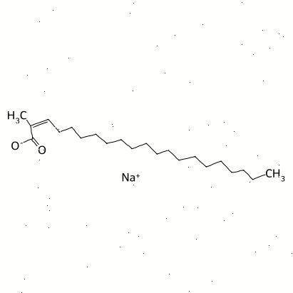 CCCCCCCCCCCCCCCCCCC=C(C)C(=O)[O-].[Na+]